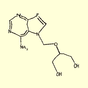 Nc1ncnc2pcn(COC(CO)CO)c12